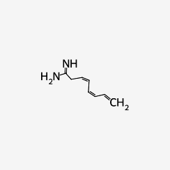 C=C/C=C\C=C/CC(=N)N